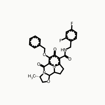 C[C@H]1COC2C3CCc4c(C(=O)NCc5ccc(F)cc5F)c(=O)c(OCc5ccccc5)c(n43)C(=O)N21